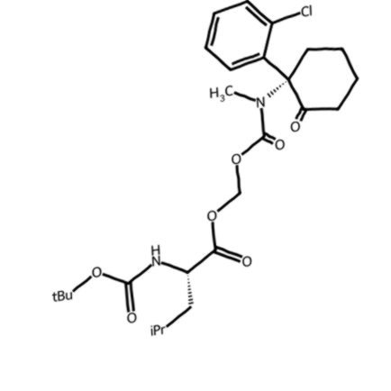 CC(C)C[C@H](NC(=O)OC(C)(C)C)C(=O)OCOC(=O)N(C)[C@]1(c2ccccc2Cl)CCCCC1=O